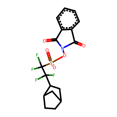 O=C1c2ccccc2C(=O)N1OS(=O)(=O)C(F)(F)C(F)(F)C1CC2CCC1C2